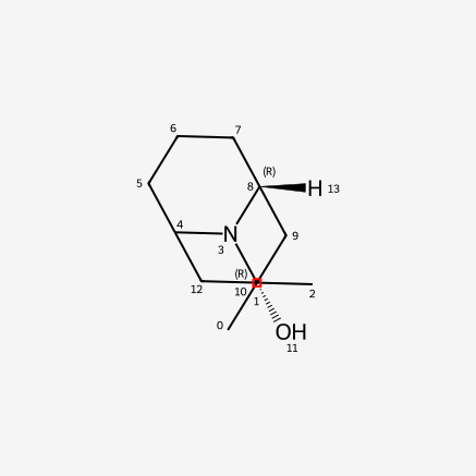 CC(C)N1C2CCC[C@@H]1C[C@H](O)C2